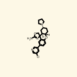 NC1=NC2(CO1)c1cc(-c3cncc(Cl)c3)ccc1O[C@H]1CC[C@@H](N3CCCC3)C[C@@H]12